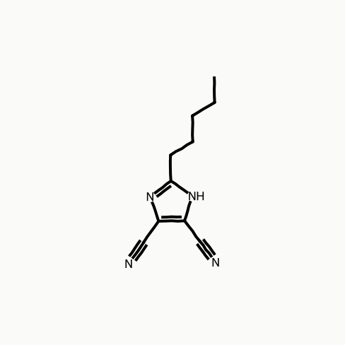 CCCCCc1nc(C#N)c(C#N)[nH]1